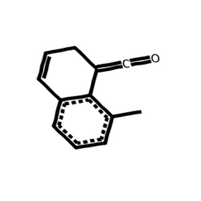 Cc1cccc2c1C(=C=O)CC=C2